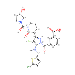 CN(Cc1ccc(Cl)s1)c1c(F)c(C2CCCN(C(=O)N3CCC(O)C3)C2=O)nn1C(=O)c1cccc(C(=O)O)c1